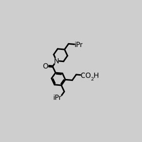 CC(C)Cc1ccc(C(=O)N2CCC(CC(C)C)CC2)cc1CCC(=O)O